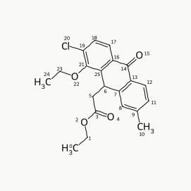 CCOC(=O)CC1c2cc(C)ccc2C(=O)c2ccc(Cl)c(OCC)c21